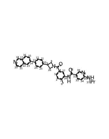 Cc1ccc(C(=O)N2CC(c3ccc(-c4ccc5cnccc5c4)cc3)C2)cc1NC(=O)c1ccc(NC(C)C)nc1